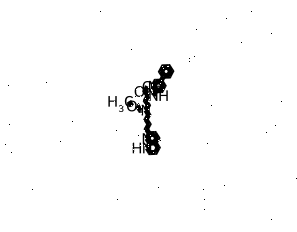 COCCN(CCCCc1ccc2c(n1)NCCC2)CCC(Nc1ccc(-c2ccccc2)cn1)C(=O)O